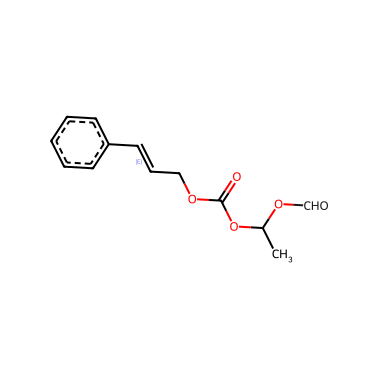 CC(OC=O)OC(=O)OC/C=C/c1ccccc1